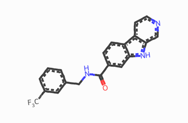 O=C(NCc1cccc(C(F)(F)F)c1)c1ccc2c(c1)[nH]c1cnccc12